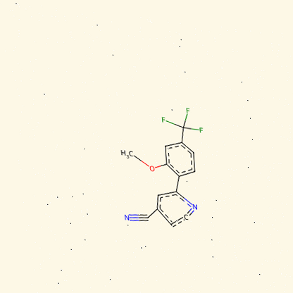 COc1cc(C(F)(F)F)ccc1-c1cc(C#N)ccn1